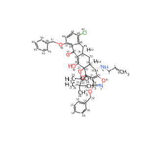 C=CCN[C@@H]1c2onc(OCc3ccccc3)c2C(=O)C2(O[Si](C)(C)C(C)(C)C)C(O)=C3C(=O)c4c(OCc5ccccc5)ccc(Cl)c4C[C@H]3C[C@@H]12